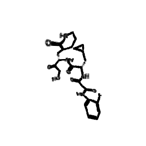 O=C(Nc1ccccc1F)C(=O)N[C@@H](CC1CC1)C(=O)N[C@@H](CC1CCCNC1=O)C(=O)CO